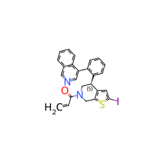 C=CC(=O)N1Cc2sc(I)cc2[C@H](c2ccccc2-c2cncc3ccccc23)C1